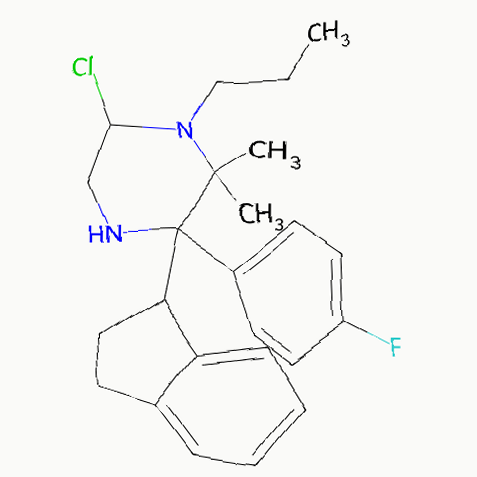 CCCN1C(Cl)CNC(c2ccc(F)cc2)(C2CCc3ccccc32)C1(C)C